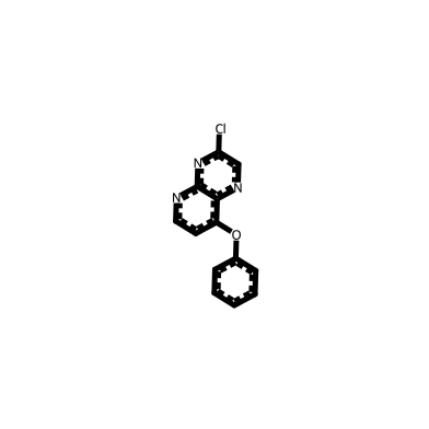 Clc1cnc2c(Oc3ccccc3)ccnc2n1